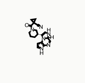 N#CC1(C(=O)N2CCC[C@@H](C3=CN[C@@H]4C=Nc5[nH]ccc5N34)C2)CC1